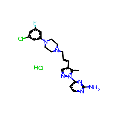 Cc1c(C=CCN2CCN(c3cc(F)cc(Cl)c3)CC2)cnn1-c1ccnc(N)n1.Cl